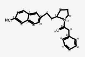 N#Cc1ccc2cc(CCC3CCCN3C(=O)Cc3ccccc3)ccc2c1